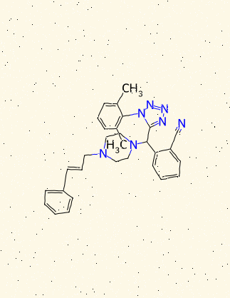 Cc1cccc(C)c1-n1nnnc1C(c1ccccc1C#N)N1CCN(CC=Cc2ccccc2)CC1